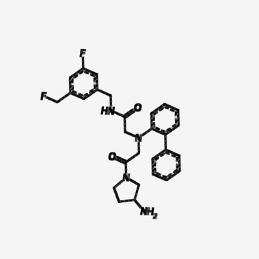 NC1CCN(C(=O)CN(CC(=O)NCc2cc(F)cc(CF)c2)c2ccccc2-c2ccccc2)C1